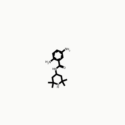 CC1(C)CC(NC(=O)c2cc(N)ccc2N)CC(C)(C)N1